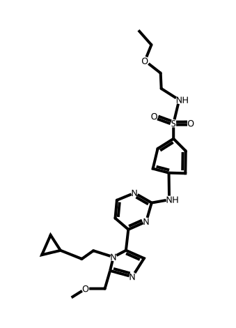 CCOCCNS(=O)(=O)c1ccc(Nc2nccc(-c3cnc(COC)n3CCC3CC3)n2)cc1